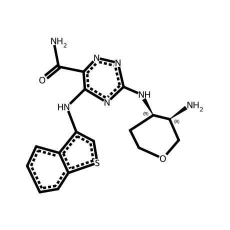 NC(=O)c1nnc(N[C@@H]2CCOC[C@@H]2N)nc1Nc1csc2ccccc12